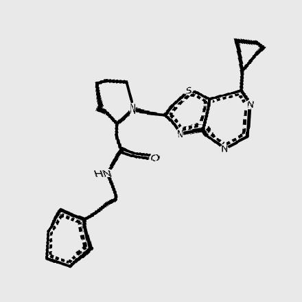 O=C(NCc1ccccc1)C1CCCN1c1nc2ncnc(C3CC3)c2s1